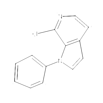 Clc1nccc2ccn(-c3ccccc3)c12